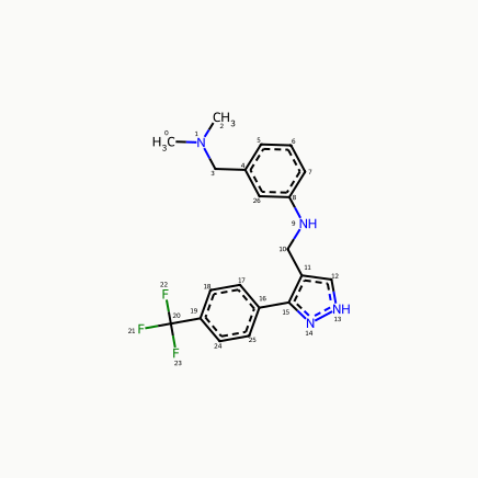 CN(C)Cc1cccc(NCc2c[nH]nc2-c2ccc(C(F)(F)F)cc2)c1